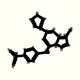 O=[SH](=O)c1ccc(Nc2cc(-c3ccoc3)nc3c(Br)cnn23)cc1